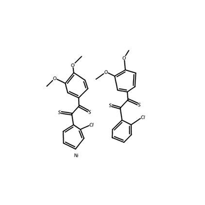 COc1ccc(C(=S)C(=S)c2ccccc2Cl)cc1OC.COc1ccc(C(=S)C(=S)c2ccccc2Cl)cc1OC.[Ni]